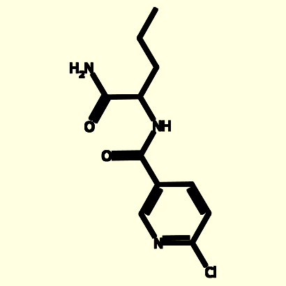 CCCC(NC(=O)c1ccc(Cl)nc1)C(N)=O